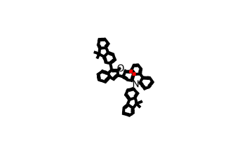 CC1(C)c2ccccc2-c2ccc(-c3c4ccccc4cc4c3oc3ccc(N(c5ccc6c(c5)C(C)(C)c5ccccc5-6)c5ccccc5-c5ccccc5)cc34)cc21